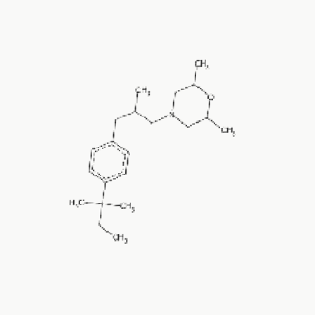 CCC(C)(C)c1ccc(CC(C)CN2CC(C)OC(C)C2)cc1